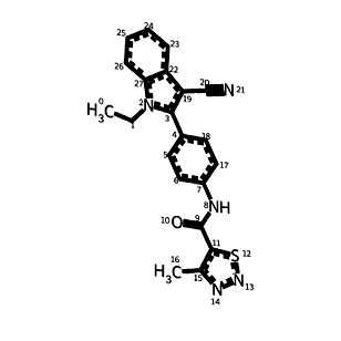 CCn1c(-c2ccc(NC(=O)c3snnc3C)cc2)c(C#N)c2ccccc21